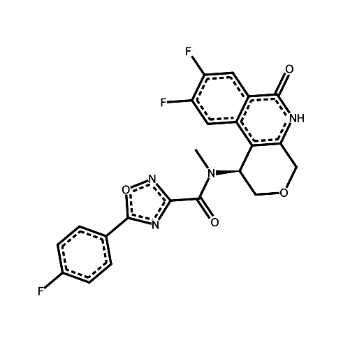 CN(C(=O)c1noc(-c2ccc(F)cc2)n1)[C@@H]1COCc2[nH]c(=O)c3cc(F)c(F)cc3c21